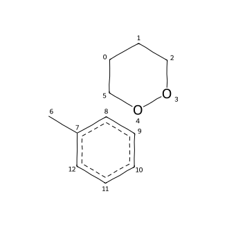 C1CCOOC1.Cc1ccccc1